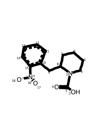 O=C(O)N1CCCCC1Cc1ccccc1[N+](=O)[O-]